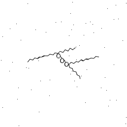 CCCCC=CC=CCCCCC(CCCCCCC)OCOCOC(CCCCC=CC=CCCCC)CCCCCCC